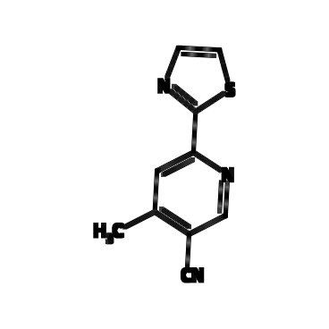 Cc1cc(-c2nccs2)ncc1C#N